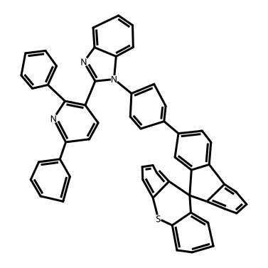 c1ccc(-c2ccc(-c3nc4ccccc4n3-c3ccc(-c4ccc5c(c4)C4(c6ccccc6Sc6ccccc64)c4ccccc4-5)cc3)c(-c3ccccc3)n2)cc1